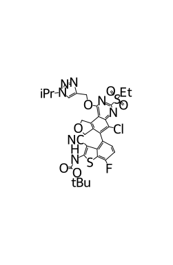 CCS(=O)(=O)c1nc(OCc2cn(C(C)C)nn2)c2c3c(c(-c4ccc(F)c5sc(NC(=O)OC(C)(C)C)c(C#N)c45)c(Cl)c2n1)COC3